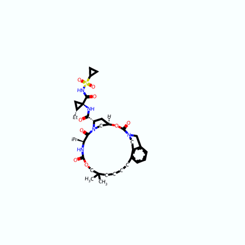 CC[C@@H]1C[C@]1(NC(=O)[C@@H]1C[C@@H]2CN1C(=O)[C@H](C(C)C)NC(=O)OCC(C)(C)CCCCc1cccc3c1CN(C3)C(=O)O2)C(=O)NS(=O)(=O)C1CC1